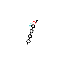 C/C=C/Oc1ccc(C2CCC(c3ccc(C4CCC(C)CC4)cc3)CC2)c(F)c1F